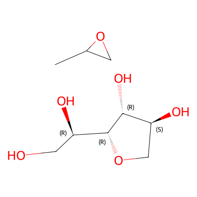 CC1CO1.OC[C@@H](O)[C@H]1OC[C@H](O)[C@H]1O